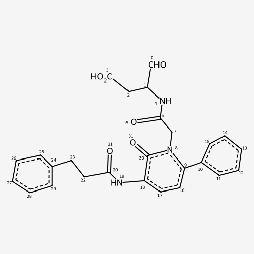 O=CC(CC(=O)O)NC(=O)Cn1c(-c2ccccc2)ccc(NC(=O)CCc2ccccc2)c1=O